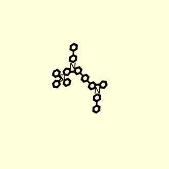 c1ccc(-c2ccc(-n3c4ccccc4c4cc(-c5ccc(-c6ccc7c(c6)c6cc([Si](c8ccccc8)(c8ccccc8)c8ccccc8)ccc6n7-c6ccc(-c7ccccc7)cc6)cc5)ccc43)cc2)cc1